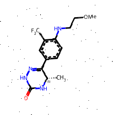 COCCNc1ccc(C2=NNC(=O)N[C@H]2C)cc1C(F)(F)F